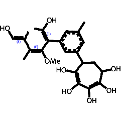 COC(=C(C)/C(C)=C/O)/C(=C(\C)O)c1cc(C)cc(C2CC(O)C(O)=C(O)C(O)=C2O)c1